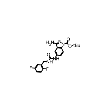 CC(C)(C)OC(=O)n1nc(N)c2cc(NC(=O)NCc3cc(F)ccc3F)ccc21